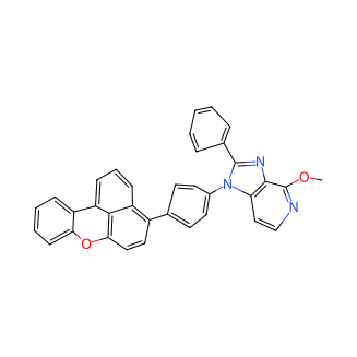 COc1nccc2c1nc(-c1ccccc1)n2-c1ccc(-c2ccc3c4c(cccc24)-c2ccccc2O3)cc1